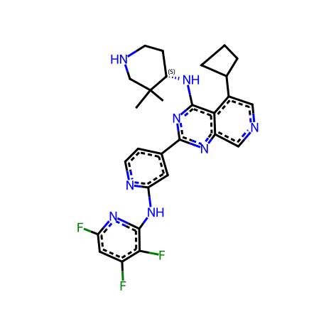 CC1(C)CNCC[C@@H]1Nc1nc(-c2ccnc(Nc3nc(F)cc(F)c3F)c2)nc2cncc(C3CCC3)c12